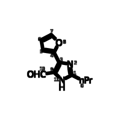 CCCc1nc(-c2ccco2)c(C=O)[nH]1